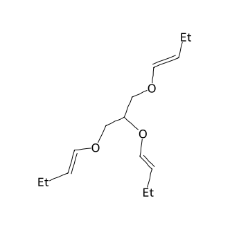 CCC=COCC(COC=CCC)OC=CCC